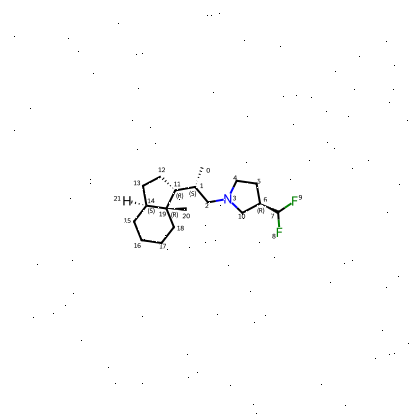 C[C@H](CN1CC[C@@H](C(F)F)C1)[C@H]1CC[C@@H]2CCCC[C@]21C